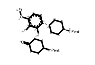 CCCCCC1CCC(=O)CC1.CCCCC[C@H]1CC[C@H](c2ccc(OCC)c(F)c2F)CC1